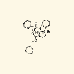 O=C(OCc1ccccc1)N1CC[C@]2(Br)c3ccccc3N(S(=O)(=O)c3ccccc3)[C@H]12